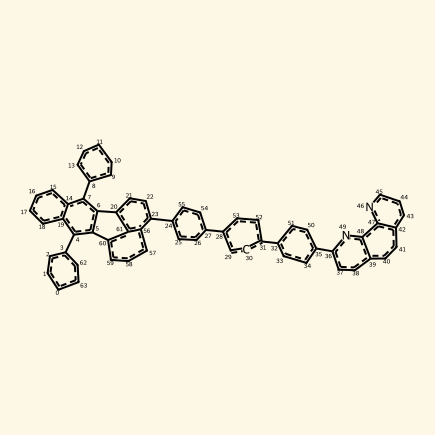 c1ccc(-c2c3c(c(-c4ccccc4)c4ccccc24)-c2ccc(-c4ccc(-c5ccc(-c6ccc(-c7ccc8ccc9cccnc9c8n7)cc6)cc5)cc4)c4cccc-3c24)cc1